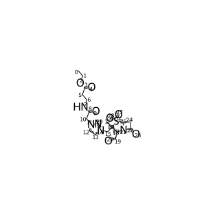 CCOC(=O)CCNC(=O)C[n+]1ccn(C[C@@]2(C)[C@H](C=O)N3C(=O)CC3S2(=O)=O)n1